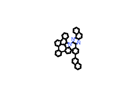 c1ccc2c(c1)-c1cccc3c4ccccc4c4c(c13)c1c-2cccc1n4-c1nc2c(ccc3ccccc32)nc1-c1ccc(-c2ccc3ccccc3c2)cc1